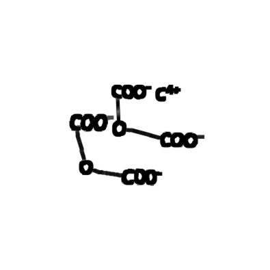 O=C([O-])OC(=O)[O-].O=C([O-])OC(=O)[O-].[C+4]